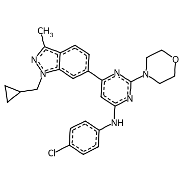 Cc1nn(CC2CC2)c2cc(-c3cc(Nc4ccc(Cl)cc4)nc(N4CCOCC4)n3)ccc12